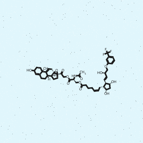 CC(=O)N[C@@H](COC(=O)CCC/C=C\C[C@@H]1[C@@H](/C=C/[C@@H](O)COc2cccc(C(F)(F)F)c2)[C@H](O)C[C@@H]1O)C(=O)OCC(=O)[C@@]12CC[C@H]3[C@@H]4CCC5=CC(O)CC[C@]5(C)C4=CC[C@@]31O2